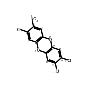 O=[N+]([O-])c1cc2c(cc1Cl)Oc1cc(Cl)c(Cl)cc1O2